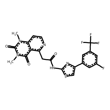 Cn1c(=O)c2c(CC(=O)Nc3nc(-c4cc(F)cc(C(F)(F)F)c4)cs3)nccc2n(C)c1=O